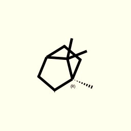 CC1(C)C2C[CH][C@]1(C)CC2